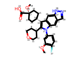 COc1cc(-n2c(C3CCOCC3)c([C@H]3CC[C@](OC)(C(=O)O)CC3)c3cc4[nH]ncc4cc32)ccc1F